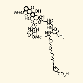 COc1cccc2c1C(=O)c1c(O)c3c(c(O)c1C2=O)C[C@@](O)(C(=O)NCCNC(=O)[C@H](C)NC(=O)C(CC(N)=O)NC(=O)CCOCCOCCOCCOCCN1CCC(C(=O)O)CC1)C[C@@H]3O[C@H]1C[C@H]2[C@H](O[C@@H]3[C@@H](OC)OCCN32)[C@H](C)O1